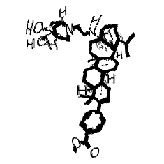 C=C(C)[C@@H]1CC[C@]2(NCCN3C[C@@H]4C[C@H]3CS4(O)O)CC[C@]3(C)[C@H](CC[C@@H]4[C@@]5(C)CC=C(c6ccc(C(=O)OC)cc6)C(C)(C)[C@@H]5CC[C@]43C)[C@@H]12